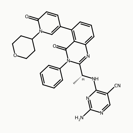 C[C@@H](Nc1nc(N)ncc1C#N)c1nc2cccc(-c3ccc(=O)n(C4CCOCC4)c3)c2c(=O)n1-c1ccccc1